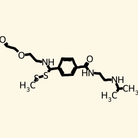 CSSC(NCCOCC=O)c1ccc(C(=O)NCCNC(C)C)cc1